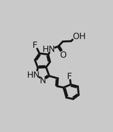 O=C(CCO)Nc1cc2c(C=Cc3ccccc3F)n[nH]c2cc1F